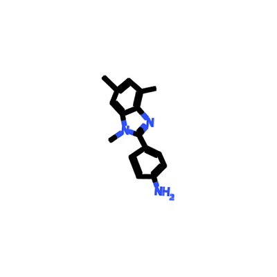 Cc1cc(C)c2nc(-c3ccc(N)cc3)n(C)c2c1